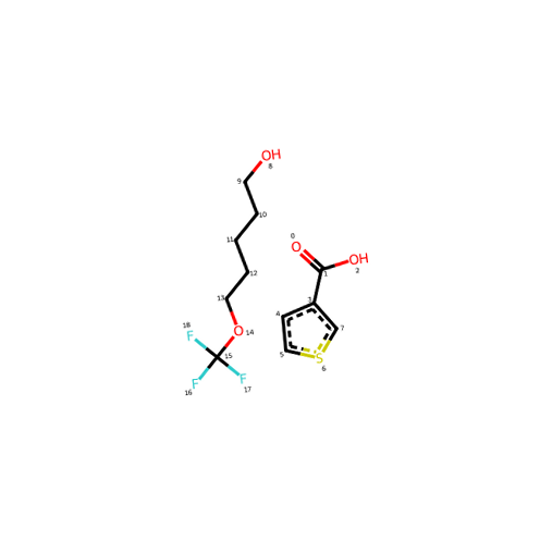 O=C(O)c1ccsc1.OCCCCCOC(F)(F)F